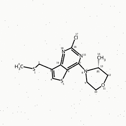 CSCc1csc2c(N3CCOC[C@H]3C)nc(Cl)nc12